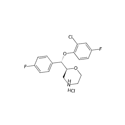 Cl.Fc1ccc([C@H](Oc2ccc(F)cc2Cl)[C@@H]2CNCCO2)cc1